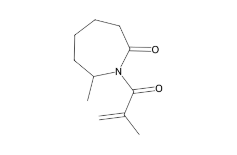 C=C(C)C(=O)N1C(=O)CCCCC1C